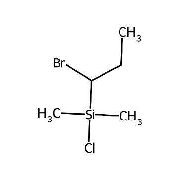 CCC(Br)[Si](C)(C)Cl